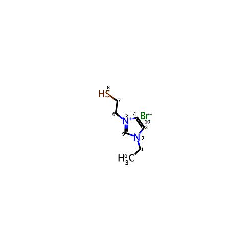 CCn1cc[n+](CCS)c1.[Br-]